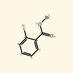 O=C(OBr)c1ccccc1I